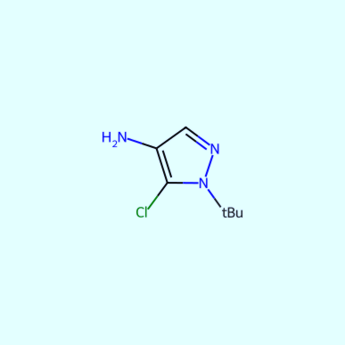 CC(C)(C)n1ncc(N)c1Cl